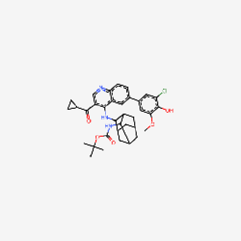 COc1cc(-c2ccc3ncc(C(=O)C4CC4)c(NC4C5CC6CC(C5)C(NC(=O)OC(C)(C)C)C4C6)c3c2)cc(Cl)c1O